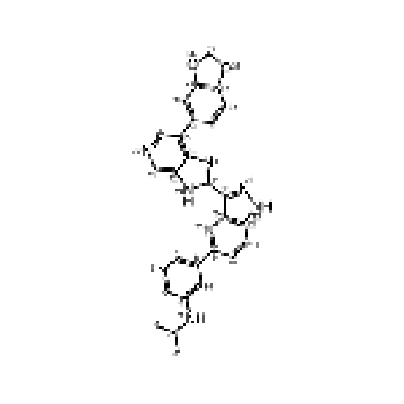 CC(C)Nc1cncc(-c2ccc3[nH]nc(-c4nc5c(-c6ccc7c(c6)OCO7)cncc5[nH]4)c3n2)c1